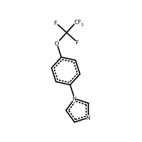 FC(F)(F)C(F)(F)Oc1ccc(-n2[c]ncc2)cc1